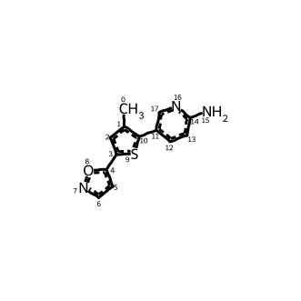 Cc1cc(-c2ccno2)sc1-c1ccc(N)nc1